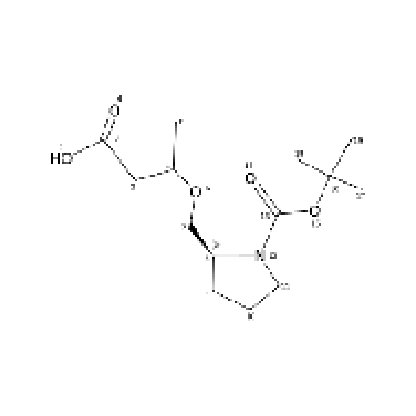 CC(CC(=O)O)OC[C@@H]1CCCN1C(=O)OC(C)(C)C